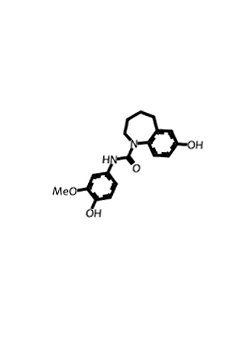 COc1cc(NC(=O)N2CCCCc3cc(O)ccc32)ccc1O